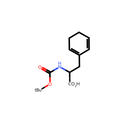 CC(C)(C)OC(=O)NC(CC1=CCCC=C1)C(=O)O